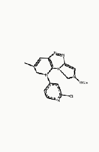 CON1C=C2N=NC3=C(N2C1)N(c1ccnc(Cl)c1)CC(C)=C3